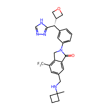 CC1(NCc2cc3c(c(C(F)(F)F)c2)CN(c2cccc([C@H](c4nnc[nH]4)C4COC4)c2)C3=O)CCC1